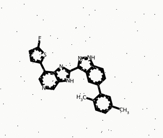 Cc1ccc(C)c(-c2ccc3[nH]nc(-c4nc5c(-c6ccc(F)s6)cncc5[nH]4)c3c2)c1